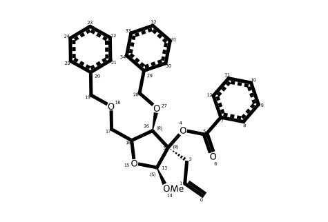 C=CC[C@]1(OC(=O)c2ccccc2)[C@@H](OC)OC(COCc2ccccc2)[C@H]1OCc1ccccc1